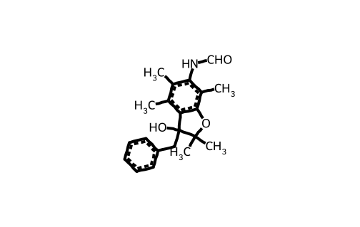 Cc1c(C)c2c(c(C)c1NC=O)OC(C)(C)C2(O)Cc1ccccc1